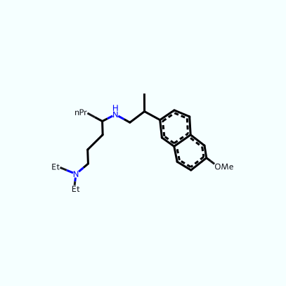 CCCC(CCCN(CC)CC)NCC(C)c1ccc2cc(OC)ccc2c1